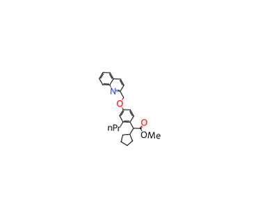 CCCc1cc(OCc2ccc3ccccc3n2)ccc1C(C(=O)OC)C1CCCC1